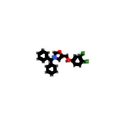 Clc1ccc(OCC2CN(C(c3ccccc3)c3ccccc3)CO2)cc1Cl